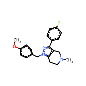 COc1ccc(Cn2nc(-c3ccc(F)cc3)c3c2CCN(C)C3)cc1